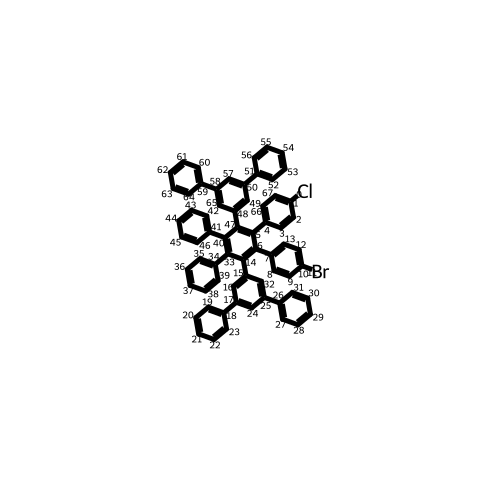 Clc1ccc(-c2c(-c3ccc(Br)cc3)c(-c3cc(-c4ccccc4)cc(-c4ccccc4)c3)c(-c3ccccc3)c(-c3ccccc3)c2-c2cc(-c3ccccc3)cc(-c3ccccc3)c2)cc1